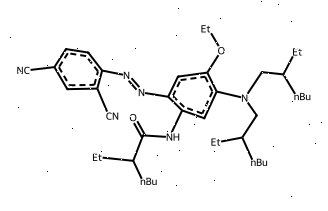 CCCCC(CC)CN(CC(CC)CCCC)c1cc(NC(=O)C(CC)CCCC)c(N=Nc2ccc(C#N)cc2C#N)cc1OCC